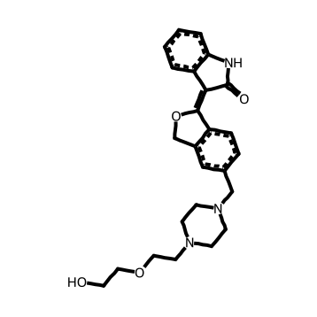 O=C1Nc2ccccc2C1=C1OCc2cc(CN3CCN(CCOCCO)CC3)ccc21